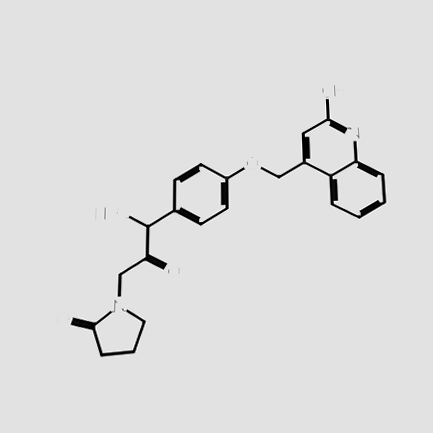 Cc1cc(COc2ccc(C(C)C(=O)CN3CCCC3=O)cc2)c2ccccc2n1